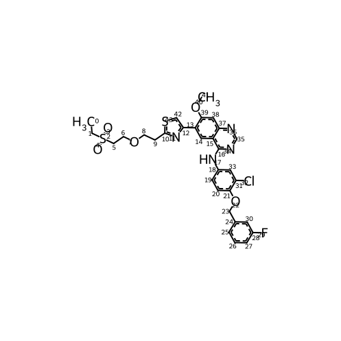 CCS(=O)(=O)CCOCCc1nc(-c2cc3c(Nc4ccc(OCc5cccc(F)c5)c(Cl)c4)ncnc3cc2OC)cs1